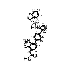 CC(OC(=O)Nc1cnoc1-c1ccc(-c2ccc(CC(=O)O)c3scnc23)cc1)c1ccccc1